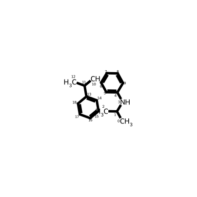 CC(C)Nc1ccccc1.CC(C)c1ccccc1